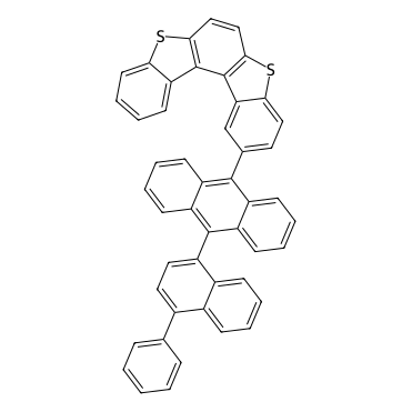 c1ccc(-c2ccc(-c3c4ccccc4c(-c4ccc5sc6ccc7sc8ccccc8c7c6c5c4)c4ccccc34)c3ccccc23)cc1